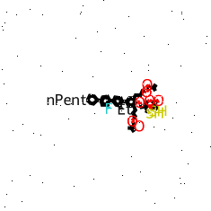 C=C(C)C(=O)OCCCc1cc(-c2ccc(-c3ccc(C4CCC(CCCCC)CC4)cc3F)cc2CC)cc(CCCOC(=O)C(=C)C)c1OCC(CS)(CS)COC(=O)C(=C)C